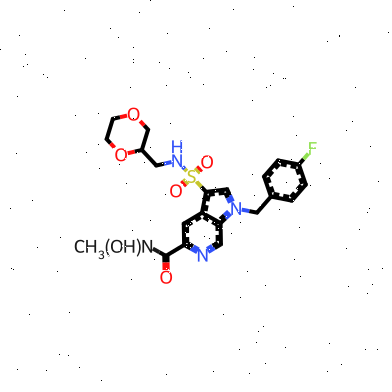 CN(O)C(=O)c1cc2c(S(=O)(=O)NCC3COCCO3)cn(Cc3ccc(F)cc3)c2cn1